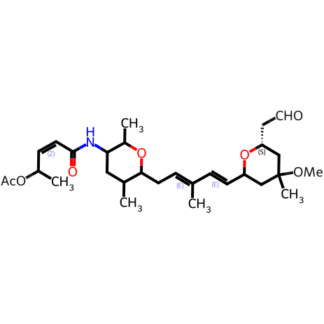 COC1(C)CC(/C=C/C(C)=C/CC2OC(C)C(NC(=O)/C=C\C(C)OC(C)=O)CC2C)O[C@H](CC=O)C1